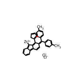 Cc1ccc(C(c2ccc(C)cc2)=c2ccc3c(c2C2=CC=CC2)[C]([Zr+2])=c2ccccc2=3)cc1.[Cl-].[Cl-]